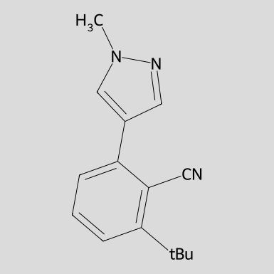 Cn1cc(-c2cccc(C(C)(C)C)c2C#N)cn1